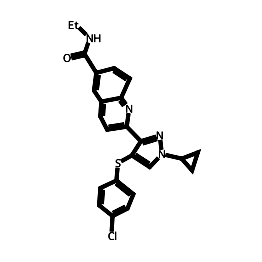 CCNC(=O)c1ccc2nc(-c3nn(C4CC4)cc3Sc3ccc(Cl)cc3)ccc2c1